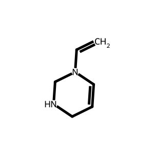 C=CN1C=CCNC1